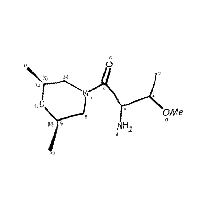 COC(C)C(N)C(=O)N1C[C@@H](C)O[C@@H](C)C1